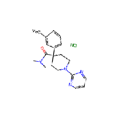 COc1cccc(C2(C(=O)N(C)C)CCN(c3ncccn3)CC2)c1.Cl